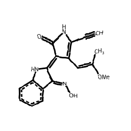 C#CC1=C(/C=C(\C)OC)/C(=C2/Nc3ccccc3/C2=N\O)C(=O)N1